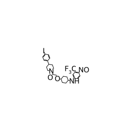 O=Nc1ccc(NC2CCC(OCC(=O)N3CCC(c4ccc(I)cc4)CC3)CC2)cc1C(F)(F)F